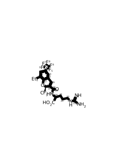 CCc1cc(S(F)(F)(F)(F)F)cc2c1O[C@H](C(F)(F)F)C(C(=O)NC(CCCNC(=N)N)C(=O)O)=C2